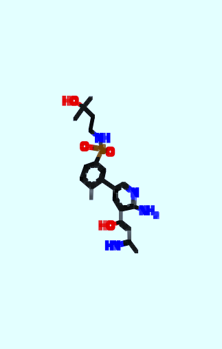 CC(=N)/C=C(\O)c1cc(-c2cc(S(=O)(=O)NCCC(C)(C)O)ccc2C)cnc1N